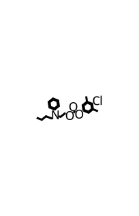 CCCCN(CCOC(=O)Oc1cc(C)c(Cl)c(C)c1)c1ccccc1